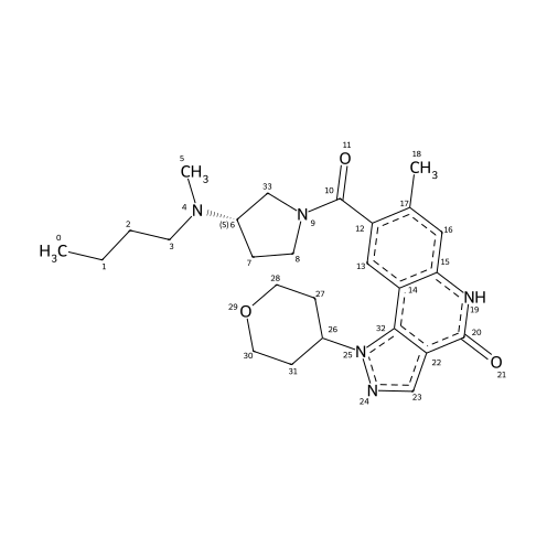 CCCCN(C)[C@H]1CCN(C(=O)c2cc3c(cc2C)[nH]c(=O)c2cnn(C4CCOCC4)c23)C1